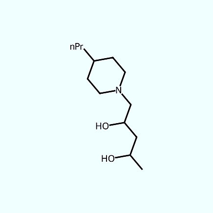 CCCC1CCN(CC(O)CC(C)O)CC1